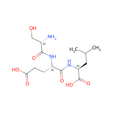 CC(C)C[C@H](NC(=O)[C@H](CCC(=O)O)NC(=O)[C@@H](N)CO)C(=O)O